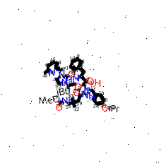 CCC(C)C(C(=O)NC(Cc1ccccc1)C(O)CN(Cc1ccc(OC(C)C)cc1)NC(=O)CC(C)(C)CNC(=O)OC)N1CCN(Cc2cccc(C)n2)C1=O